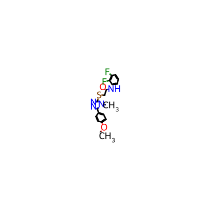 CCOc1ccc(-c2nnc(SCC(=O)Nc3cccc(F)c3F)n2C)cc1